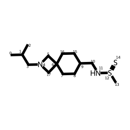 CC(C)CN1CC2(CCC(CNS(C)=S)CC2)C1